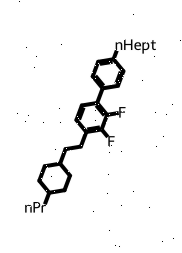 CCCCCCCc1ccc(-c2ccc(CCC3CCC(CCC)CC3)c(F)c2F)cc1